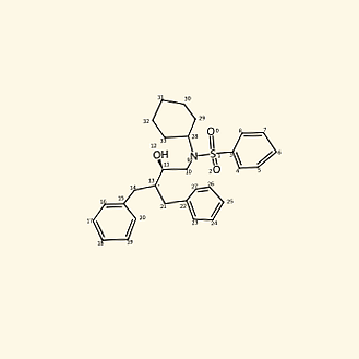 O=S(=O)(c1ccccc1)N(C[C@H](O)[C](Cc1ccccc1)Cc1ccccc1)C1CCCCC1